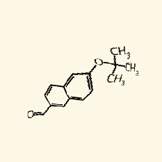 CC(C)(C)Oc1ccc2cc(C=O)ccc2c1